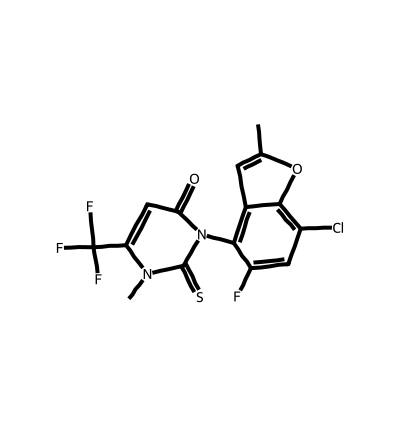 Cc1cc2c(-n3c(=O)cc(C(F)(F)F)n(C)c3=S)c(F)cc(Cl)c2o1